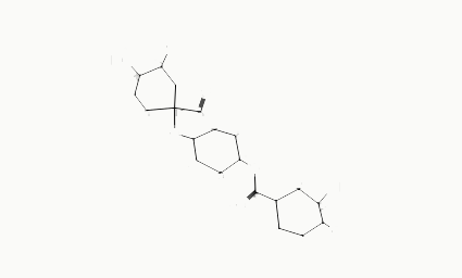 CC1CCC(C(=O)OC2CCC(OC3(C=O)CCC(C)C(C)C3)CC2)CC1C